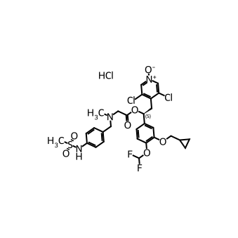 CN(CC(=O)O[C@@H](Cc1c(Cl)c[n+]([O-])cc1Cl)c1ccc(OC(F)F)c(OCC2CC2)c1)Cc1ccc(NS(C)(=O)=O)cc1.Cl